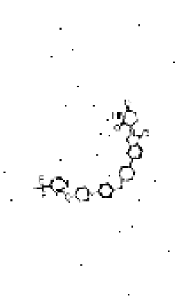 O=C1CCC(N2Cc3cc(C4CCN(Cc5ccc(N6CCC(Oc7nccc(C(F)(F)F)n7)CC6)cc5)CC4)ccc3C2=O)C(=O)N1